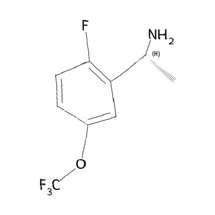 C[C@@H](N)c1cc(OC(F)(F)F)ccc1F